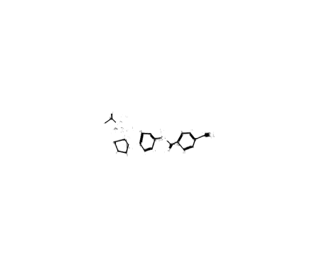 CC(C)S(=O)(=O)N[C@H]1CCC[C@H]1c1ccc(NC(=O)c2ccc(C#N)cc2)cc1